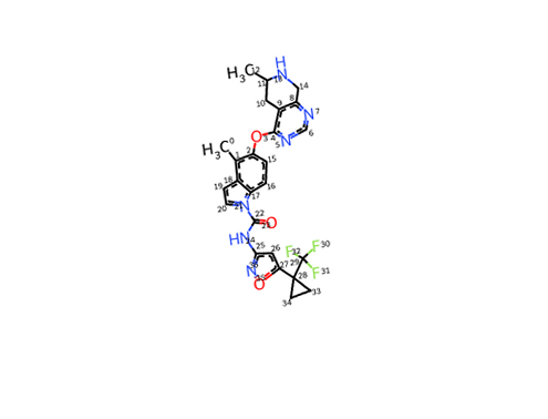 Cc1c(Oc2ncnc3c2CC(C)NC3)ccc2c1ccn2C(=O)Nc1cc(C2(C(F)(F)F)CC2)on1